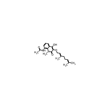 CC(=O)Nc1cccc2c(O)c(OC/C=C(\C)CCC=C(C)C)c(=O)n(C)c12